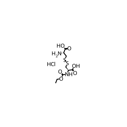 CCOC(=O)N[C@@H](CSSC[C@H](N)C(=O)O)C(=O)O.Cl